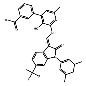 CC1=CC(N2C(=O)/C(=C\Nc3nc(C)cc(-c4cccc(C(=O)O)c4)c3O)c3ccc(C(F)(F)F)cc32)=CC(C)C1